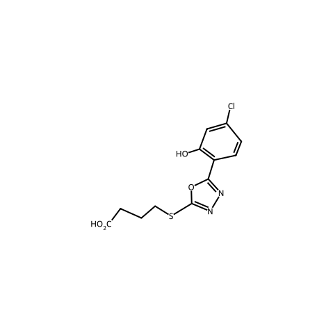 O=C(O)CCCSc1nnc(-c2ccc(Cl)cc2O)o1